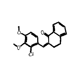 COc1ccc(C=C2CCc3ccccc3C2=O)c(Cl)c1OC